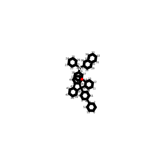 c1ccc(-c2ccc(C3(c4ccccc4-c4cccc(N(c5ccccc5)c5ccc6ccccc6c5)c4)c4ccccc4-c4ccccc43)cc2)cc1